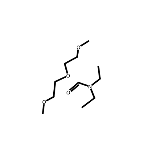 CCN(C=O)CC.COCCOCCOC